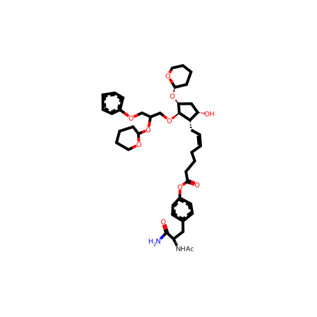 CC(=O)NC(Cc1ccc(OC(=O)CCC/C=C\C[C@@H]2[C@@H](OCC(COc3ccccc3)OC3CCCCO3)[C@H](O[C@H]3CCCCO3)C[C@@H]2O)cc1)C(N)=O